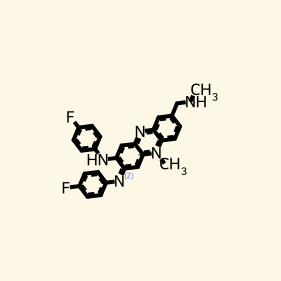 CNCc1ccc2c(c1)nc1cc(Nc3ccc(F)cc3)/c(=N\c3ccc(F)cc3)cc-1n2C